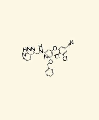 N#Cc1cc(Cl)cc(Oc2cc(NCc3n[nH]c4ncccc34)nc(OCc3ccccc3)c2Cl)c1